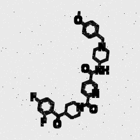 COc1ccc(CN2CCC(NC(=O)c3ccc(C(=O)N4CCC(C(=O)c5ccc(F)cc5F)CC4)nc3)CC2)cc1